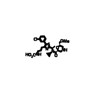 COC[C@@H]1CNC[C@H](C(=O)N(C2CC2)[C@H](C)c2nc(CCCNC(=O)O)c(-c3cccc(Cl)c3)s2)O1